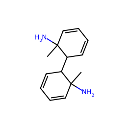 CC1(N)C=CC=CC1C1C=CC=CC1(C)N